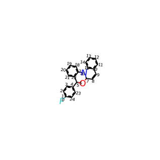 Fc1ccc(C2OC3C=Cc4ccccc4N3c3ccccc32)cc1